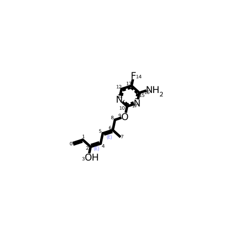 C=C/C(O)=C\C=C(/C)COc1ncc(F)c(N)n1